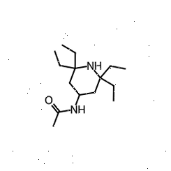 CCC1(CC)CC(NC(C)=O)CC(CC)(CC)N1